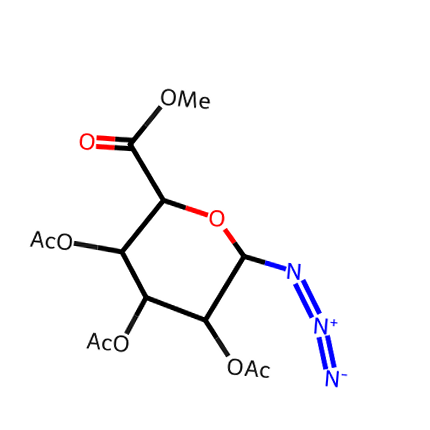 COC(=O)C1OC(N=[N+]=[N-])C(OC(C)=O)C(OC(C)=O)C1OC(C)=O